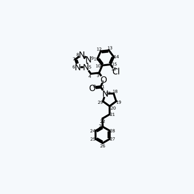 O=C(OC(Cn1ncnn1)c1ccccc1Cl)N1CCC(CCc2ccccc2)C1